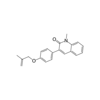 C=C(C)COc1ccc(-c2cc3ccccc3n(C)c2=O)cc1